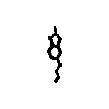 C=CCOc1ccc2c(c1)=C[C](C)N=2